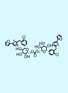 O=C(OC[C@H]1O[C@@H](c2ccc(Cl)c(Cc3ncc(-c4ccco4)s3)c2)[C@H](O)[C@@H](O)[C@@H]1O)OC[C@H]1O[C@@H](c2ccc(Cl)c(Cc3ncc(-c4ccco4)s3)c2)[C@H](O)[C@@H](O)[C@@H]1O